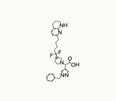 O=C(O)C(c1cnn(Cc2ccccc2)c1)N1CC[C@@H](C(F)(F)CCCCc2ccc3c(n2)NCCC3)C1